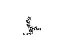 COC[C@H](C)Nc1ncc2c(-c3cnn(C(C)(C)c4nnc([C@@H]5CCCO5)o4)c3)cc([C@H]3CC[C@H](O)CC3)n2n1